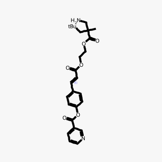 CC(C)(C)CC(C)(CN)C(=O)OCCOC(=O)/C=C/c1ccc(OC(=O)c2cccnc2)cc1